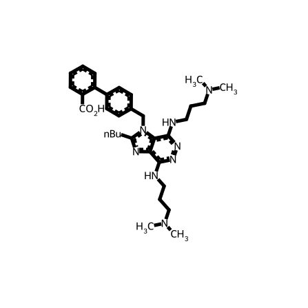 CCCCc1nc2c(NCCCN(C)C)nnc(NCCCN(C)C)c2n1Cc1ccc(-c2ccccc2C(=O)O)cc1